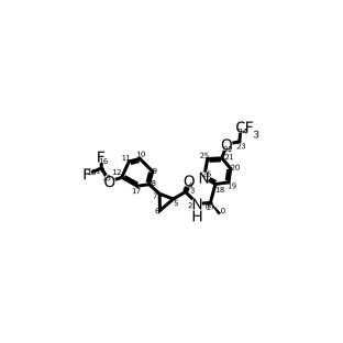 C[C@@H](NC(=O)C1CC1c1cccc(OC(F)F)c1)c1ccc(OCC(F)(F)F)cn1